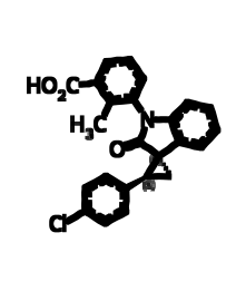 Cc1c(C(=O)O)cccc1N1C(=O)[C@@]2(C[C@H]2c2ccc(Cl)cc2)c2ccccc21